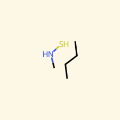 CCCC.CNS